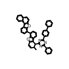 CC1C=Cc2oc3c(-c4cccc5c4oc4ccc6ccccc6c45)cccc3c2C1c1nc(-c2ccccc2)nc(-c2ccc(-c3ccccc3)cc2)n1